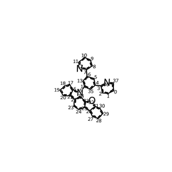 c1ccc(-c2cc(-c3ccccn3)cc(-n3c4ccccc4c4ccc5c6ccccc6oc5c43)c2)nc1